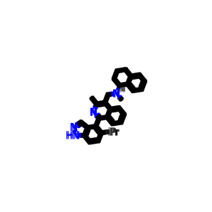 Cc1nc(-c2c(C(C)C)ccc3[nH]ncc23)c2ccccc2c1CN(C)[C@H]1CCCc2ccccc21